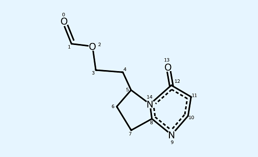 O=COCCC1CCc2nccc(=O)n21